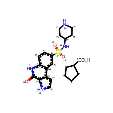 O=C(O)C1CCCC1.O=c1[nH]c2ccc(S(=O)(=O)NC3CCNCC3)cc2c2cc[nH]c12